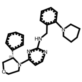 c1ccc([C@H]2COCCN2c2ccnc(NCc3ccccc3N3CCCCC3)n2)cc1